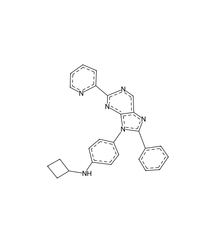 c1ccc(-c2nc3cnc(-c4ccccn4)nc3n2-c2ccc(NC3CCC3)cc2)cc1